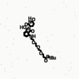 CC(C)(C)OC(=O)CCOCCOCCOCCNc1cccc2c1C(=O)N(C1CCC(=O)NC1=O)C2O